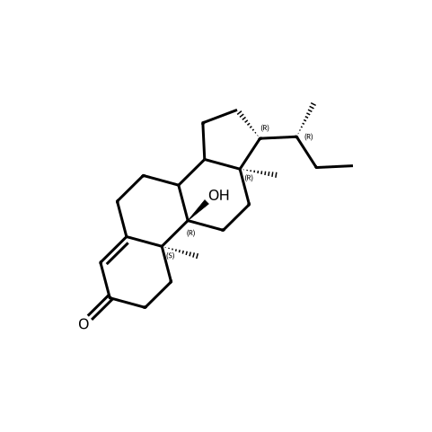 CC[C@@H](C)[C@H]1CCC2C3CCC4=CC(=O)CC[C@]4(C)[C@@]3(O)CC[C@@]21C